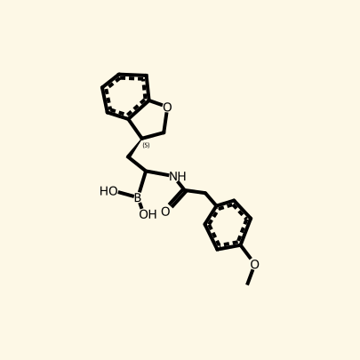 COc1ccc(CC(=O)NC(C[C@@H]2COc3ccccc32)B(O)O)cc1